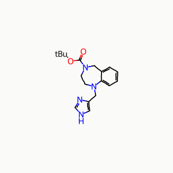 CC(C)(C)OC(=O)N1CCN(Cc2c[nH]cn2)c2ccccc2C1